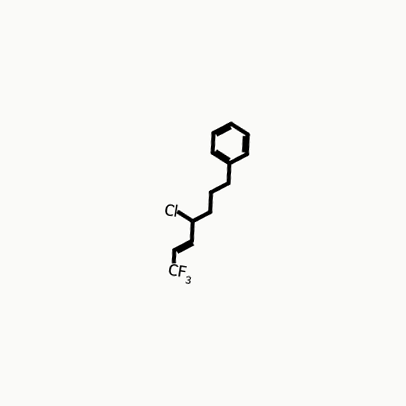 FC(F)(F)C=CC(Cl)CCCc1ccccc1